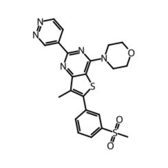 Cc1c(-c2cccc(S(C)(=O)=O)c2)sc2c(N3CCOCC3)nc(-c3ccnnc3)nc12